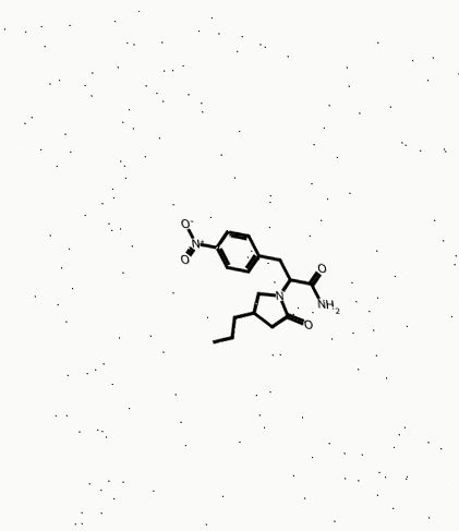 CCCC1CC(=O)N(C(Cc2ccc([N+](=O)[O-])cc2)C(N)=O)C1